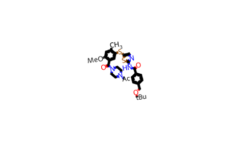 COc1cc(C)c(Sc2cnc(NC(=O)c3ccc(COC(C)(C)C)cc3)s2)cc1C(=O)N1CCN(C(C)=O)CC1